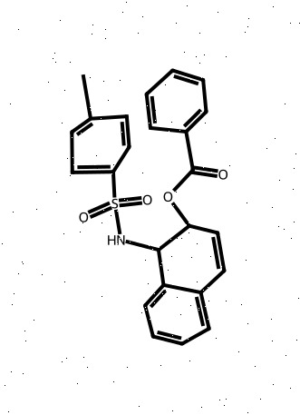 Cc1ccc(S(=O)(=O)NC2c3ccccc3C=CC2OC(=O)c2ccccc2)cc1